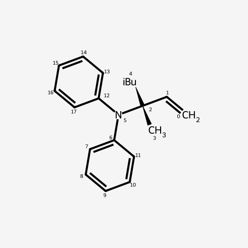 C=C[C@@](C)([C@H](C)CC)N(c1ccccc1)c1ccccc1